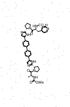 COC(=O)N[C@@H](C)C(=O)N1CCC[C@H]1c1ncc(-c2ccc(-c3ccc(-c4cnc([C@@H]5CCCN5C(=O)[C@H](Cc5ccncc5)NC(=O)O)[nH]4)cc3)cc2)[nH]1